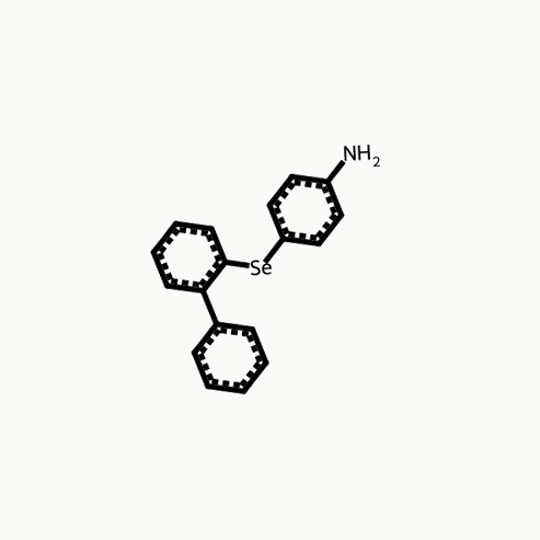 Nc1ccc([Se]c2ccccc2-c2ccccc2)cc1